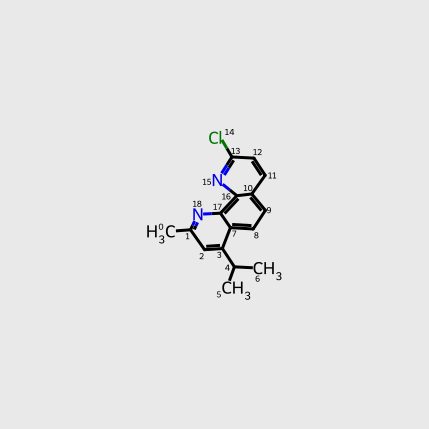 Cc1cc(C(C)C)c2ccc3ccc(Cl)nc3c2n1